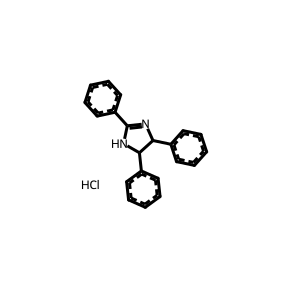 Cl.c1ccc(C2=NC(c3ccccc3)C(c3ccccc3)N2)cc1